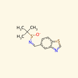 CC(C)(C)[S+]([O-])/N=C\c1ccc2scnc2c1